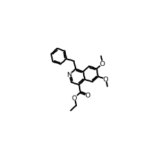 CCOC(=O)c1cnc(Cc2ccccc2)c2cc(OC)c(OC)cc12